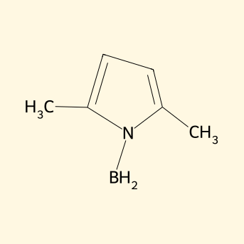 Bn1c(C)ccc1C